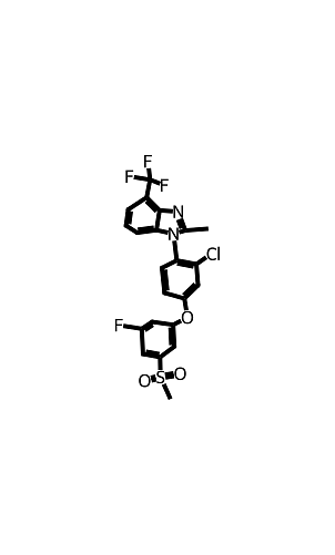 Cc1nc2c(C(F)(F)F)cccc2n1-c1ccc(Oc2cc(F)cc(S(C)(=O)=O)c2)cc1Cl